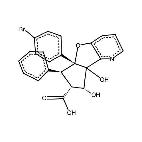 O=C(O)[C@H]1[C@@H](O)C2(O)c3ncccc3O[C@@]2(c2ccc(Br)cc2)[C@@H]1c1ccccc1